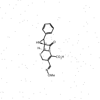 CON=CC1=C(C(=O)O)N2C(=O)[C@]3(NC3c3ccccc3)[C@@H]2SC1